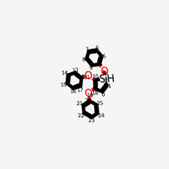 C1=C[SiH](Oc2ccccc2)C(Oc2ccccc2)=C1Oc1ccccc1